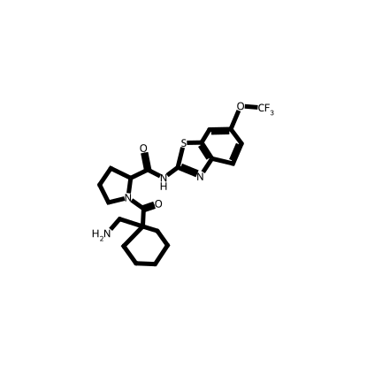 NCC1(C(=O)N2CCCC2C(=O)Nc2nc3ccc(OC(F)(F)F)cc3s2)CCCCC1